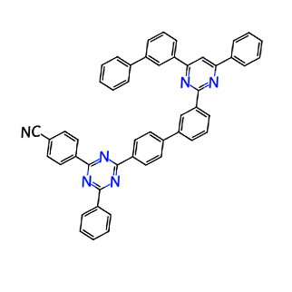 N#Cc1ccc(-c2nc(-c3ccccc3)nc(-c3ccc(-c4cccc(-c5nc(-c6ccccc6)cc(-c6cccc(-c7ccccc7)c6)n5)c4)cc3)n2)cc1